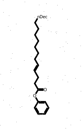 CCCCCCCCCCCCCCCCCC=CCCC(=O)Oc1ccccc1